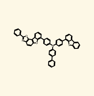 c1ccc(-c2ccc(N(c3ccc(-c4cccc5c4oc4ccc6nc(-c7ccccc7)oc6c45)cc3)c3ccc(-c4cccc5c4sc4ccccc45)cc3)cc2)cc1